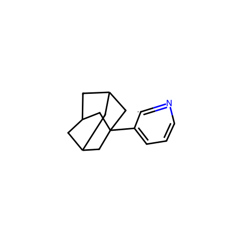 [c]1ncccc1C12CC3CC(CC(C3)C1)C2